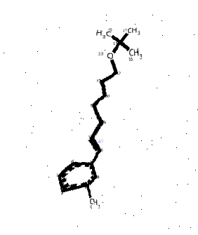 Cc1cccc(/C=C/CCCCCOC(C)(C)C)c1